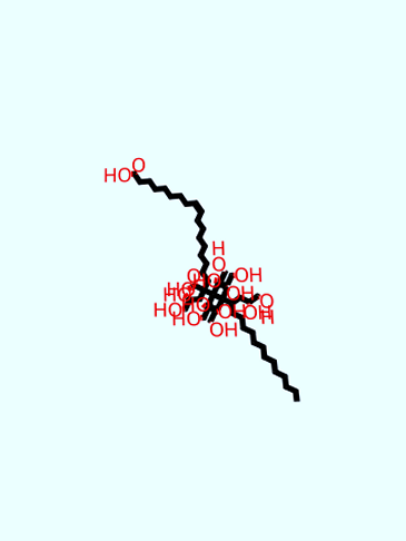 CCCCCCCCCCCCCC(CC(O)CO)C(CC(O)CO)(CC(O)CO)C(CC(O)CO)(CC(O)CO)C(CCCCCCCC/C=C\CCCCCCCC(=O)O)(CC(O)CO)C(=O)O